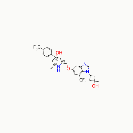 C[C@H]1C[C@@](O)(c2ccc(C(F)(F)F)cc2)C[C@@H](COc2cc(C(F)(F)F)c3c(c2)ncn3C2CC(C)(O)C2)N1